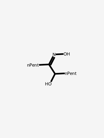 CCCCCC(=NO)C(O)CCCCC